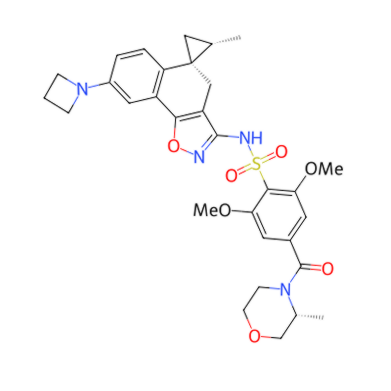 COc1cc(C(=O)N2CCOC[C@H]2C)cc(OC)c1S(=O)(=O)Nc1noc2c1C[C@@]1(C[C@@H]1C)c1ccc(N3CCC3)cc1-2